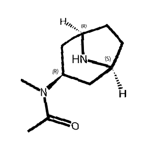 CC(=O)N(C)[C@H]1C[C@H]2CC[C@@H](C1)N2